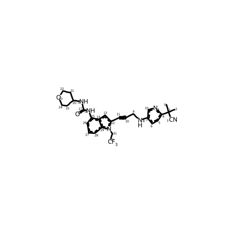 CC(C)(C#N)c1ccc(NCC#Cc2cc3c(NC(=O)NC4CCOCC4)cccc3n2CC(F)(F)F)cn1